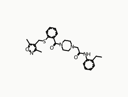 CCc1ccccc1NC(=O)CN1CCN(C(=O)c2ccccc2SCc2c(C)noc2C)CC1